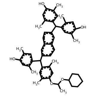 Cc1cc(C(c2ccc3cc(C(c4cc(C)c(O)cc4C)c4cc(C)c(OC(C)OC5CCCCC5)cc4C)ccc3c2)c2cc(C)c(O)cc2C)c(C)cc1O